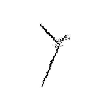 CCCCCCCCCCCCCCCCCCCCCCCCCC(=O)N[C@@H](COC[C@H](O)[C@@H](O)CO)[C@H](O)[C@H](O)CCCCCCCCCCCCCC